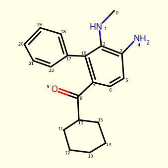 CNc1c(N)ccc(C(=O)C2CCCCC2)c1-c1ccccc1